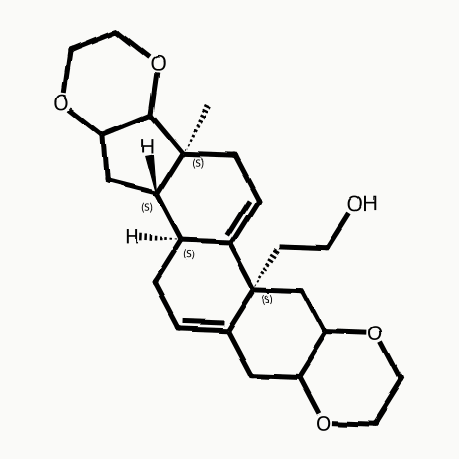 C[C@]12CC=C3[C@@H](CC=C4CC5OCCOC5C[C@@]43CCO)[C@@H]1CC1OCCOC12